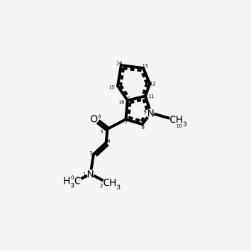 CN(C)C=CC(=O)c1cn(C)c2ccccc12